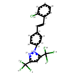 FC(F)(F)c1cc(C(F)(F)F)n(-c2ccc(/C=C/c3ccccc3Cl)cc2)n1